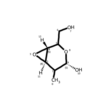 CC1[C@H]2O[C@@H]2C(CO)O[C@@H]1O